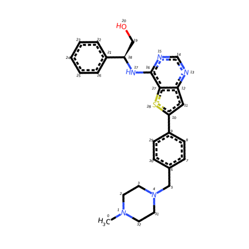 CN1CCN(Cc2ccc(-c3cc4ncnc(N[C@H](CO)c5ccccc5)c4s3)cc2)CC1